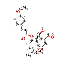 COc1ccc(/C=C/C(=O)O[C@@H]2CCC(C)(C)[C@]3(O)CC=C(C=O)[C@H](C=O)[C@@]23C)cc1